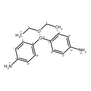 CCOCC.Nc1ccc(Oc2ccc(N)cc2)cc1